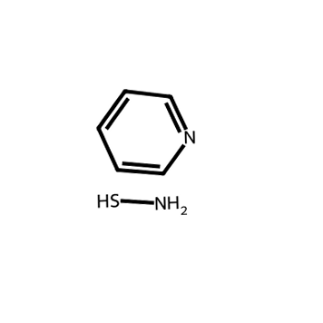 NS.c1ccncc1